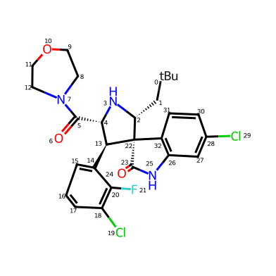 CC(C)(C)C[C@H]1N[C@@H](C(=O)N2CCOCC2)[C@H](c2cccc(Cl)c2F)[C@@]12C(=O)Nc1cc(Cl)ccc12